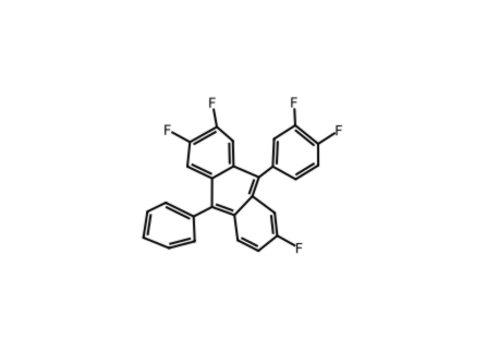 Fc1ccc2c(-c3ccccc3)c3cc(F)c(F)cc3c(-c3ccc(F)c(F)c3)c2c1